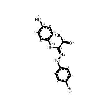 CC(C)(C)C(=O)/C(=N/Nc1ccc(Br)cc1)Nc1ccc(C#N)cc1